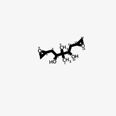 CC(C)(C(O)CC1CO1)C(O)CC1CO1